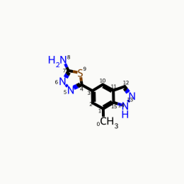 Cc1cc(-c2nnc(N)s2)cc2cn[nH]c12